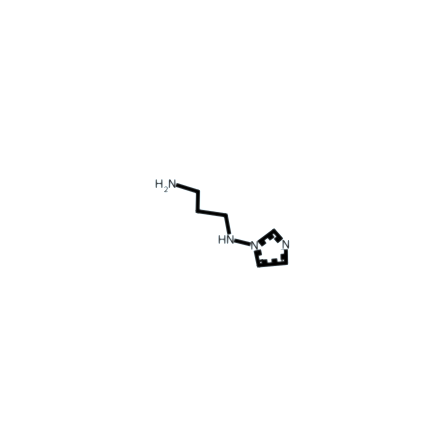 NCCCNn1ccnc1